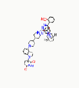 Nc1nnc(-c2ccccc2O)cc1N1C[C@H]2CC[C@@H](C1)N2c1cccc(CN2CCC(C3CCN(c4cccc5c4CCN5[C@@H]4CCC(=O)NC4=O)CC3)CC2)c1